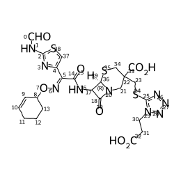 O=CNc1nc(C(=NOC2C=CCCC2)C(=O)NC2C(=O)N3CC(CSc4nnnn4CCC(=O)O)(C(=O)O)CS[C@H]23)cs1